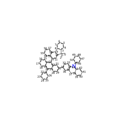 CC1(C)c2ccccc2-c2c1cc(-c1c3ccccc3c(-c3ccccc3)c3ccc(-c4ccc5c(c4)CC4C=CC=CC4N5c4ccccc4)cc13)c1ccccc21